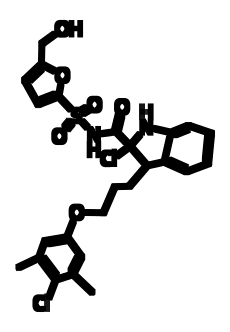 Cc1cc(OCCCC2c3ccccc3NC2(Cl)C(=O)NS(=O)(=O)c2ccc(CO)o2)cc(C)c1Cl